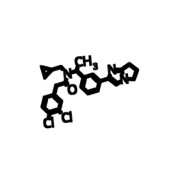 CC(c1cccc(-c2cn3c(n2)CCC3)c1)N(CC1CC1)C(=O)Cc1ccc(Cl)c(Cl)c1